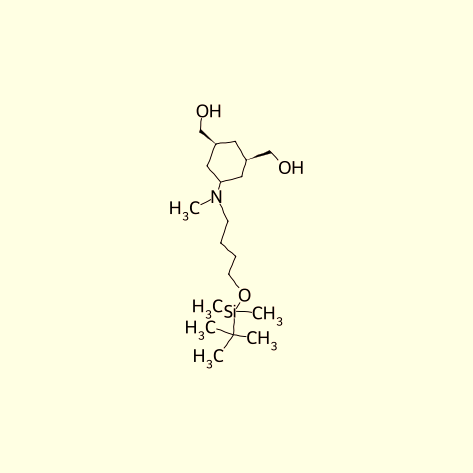 CN(CCCCO[Si](C)(C)C(C)(C)C)C1C[C@@H](CO)C[C@@H](CO)C1